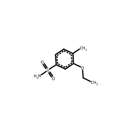 CCOc1cc(S(N)(=O)=O)ccc1C